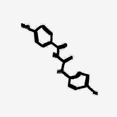 COc1ccc(C(=O)NC(=S)Nc2ccc(C(C)=O)cc2)cc1